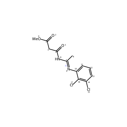 COC(=O)CC(=O)N/C(C)=N/c1cccc(Cl)c1Cl